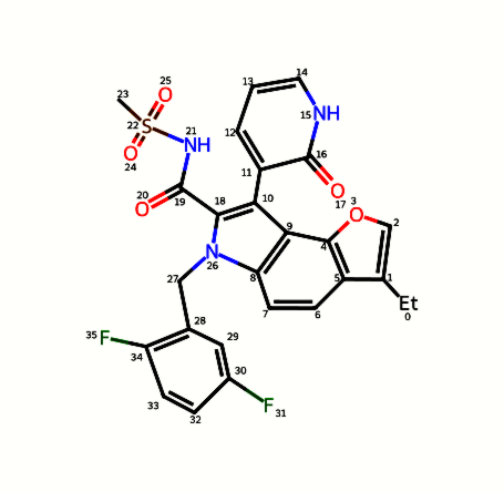 CCc1coc2c1ccc1c2c(-c2ccc[nH]c2=O)c(C(=O)NS(C)(=O)=O)n1Cc1cc(F)ccc1F